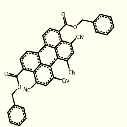 N#Cc1cc(C#N)c2c3c(C#N)cc(C#N)c4c(C(=O)OCc5ccccc5)ccc(c5ccc(C(=O)OCc6ccccc6)c1c52)c43